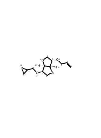 C=CCO[C@H]1CO[C@H]2[C@@H]1OC[C@H]2OCC1CO1